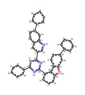 c1ccc(-c2ccc3cc(-c4nc(-c5ccccc5)nc(-c5cccc6oc7cc(-c8ccccc8)ccc7c56)n4)cnc3c2)cc1